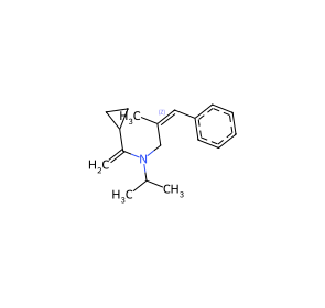 C=C(C1CC1)N(C/C(C)=C\c1ccccc1)C(C)C